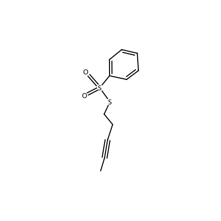 CC#CCCSS(=O)(=O)c1ccccc1